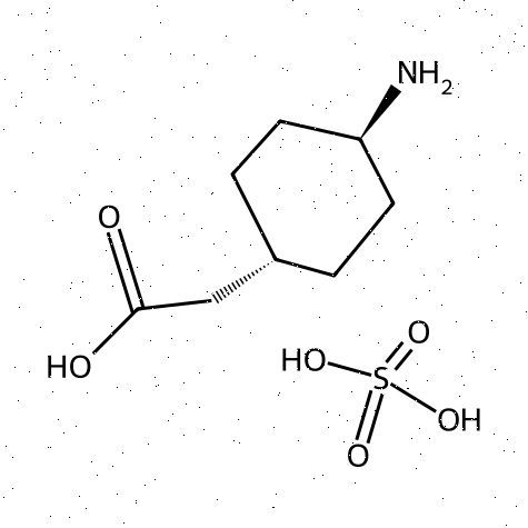 N[C@H]1CC[C@H](CC(=O)O)CC1.O=S(=O)(O)O